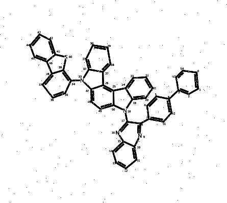 c1ccc(-c2ccc(-c3nc4ccccc4nc3-n3c4ccccc4c4c5c6ccccc6n(-c6cccc7c6sc6ccccc67)c5ccc43)cc2)cc1